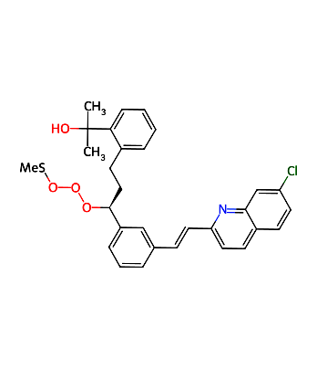 CSOOO[C@@H](CCc1ccccc1C(C)(C)O)c1cccc(/C=C/c2ccc3ccc(Cl)cc3n2)c1